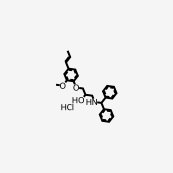 C/C=C/c1ccc(OCC(O)CNC(c2ccccc2)c2ccccc2)c(OC)c1.Cl